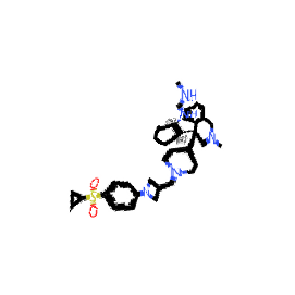 CNCN[C@H]1CCC[C@@H]1C1(C2CCN(CC3CN(c4ccc(S(=O)(=O)C5CC5)cc4)C3)CC2)CN(C)Cc2ccccc21